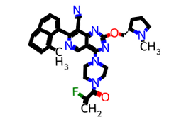 C=C(F)C(=O)N1CCN(c2nc(OC[C@@H]3CCCN3C)nc3c(C#N)c(-c4cccc5cccc(C)c45)ncc23)CC1